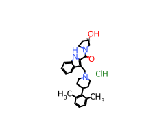 Cc1cccc(C)c1C1CCN(Cc2c(C(=O)N3CC[C@H](O)C3)[nH]c3ccccc23)CC1.Cl